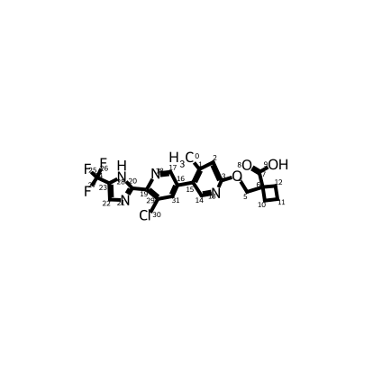 Cc1cc(OCC2(C(=O)O)CCC2)ncc1-c1cnc(-c2ncc(C(F)(F)F)[nH]2)c(Cl)c1